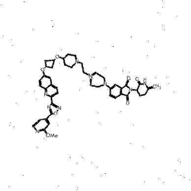 C=C1CCC(N2C(=O)c3ccc(N4CCN(CCN5CCC(O[C@H]6C[C@H](Oc7ccc8nc(-c9noc(-c%10ccnc(OC)c%10)n9)ccc8c7)C6)CC5)CC4)cc3C2=O)C(=O)N1